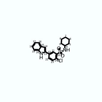 O=S(=O)(NC1CCCCC1)c1cc(-c2cc3ccccc3[nH]2)ccc1Cl